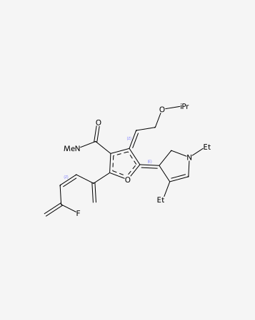 C=C(F)/C=C\C(=C)c1oc(=C2/CN(CC)C=C2CC)/c(=C\COC(C)C)c1C(=O)NC